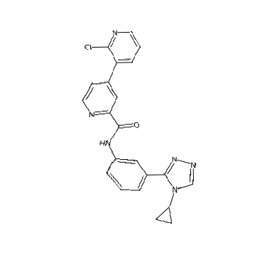 O=C(Nc1cccc(-c2nncn2C2CC2)c1)c1cc(-c2cccnc2Cl)ccn1